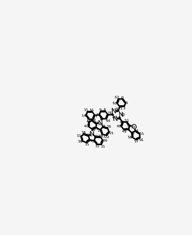 c1ccc(-c2nc(-c3ccc(-c4ccccc4)c(-n4c5ccccc5c5c(-n6c7ccccc7c7ccccc76)cccc54)c3)nc(-c3ccc4c(c3)oc3ccccc34)n2)cc1